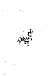 C[C@H]1Cc2cc(NC(=O)[C@]3(NC(=O)c4ccc(Cl)s4)CCOC3)ccc2CCN1C